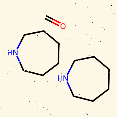 C1CCCNCC1.C1CCCNCC1.C=O